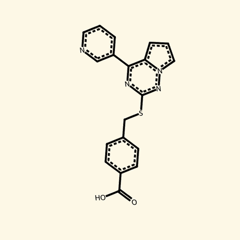 O=C(O)c1ccc(CSc2nc(-c3cccnc3)c3cccn3n2)cc1